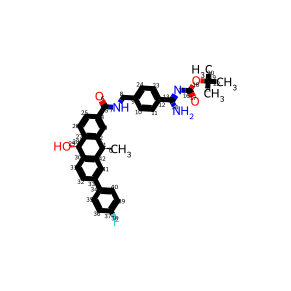 C[C@H]1c2cc(C(=O)NCc3ccc(C(N)=NC(=O)OC(C)(C)C)cc3)ccc2[C@@H](O)c2ccc(-c3ccc(F)cc3)cc21